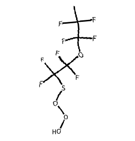 CC(F)(F)C(F)(F)OC(F)(F)C(F)(F)SOOO